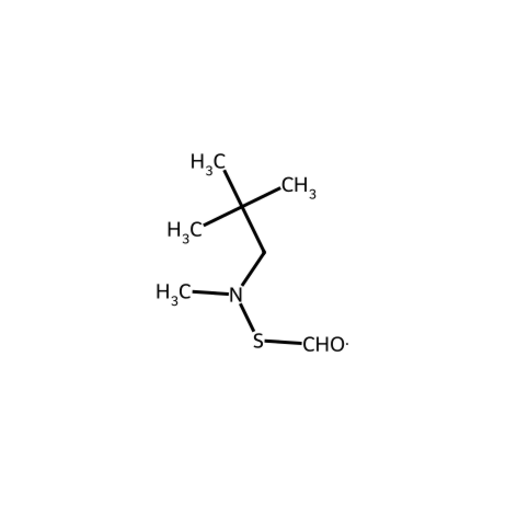 CN(CC(C)(C)C)S[C]=O